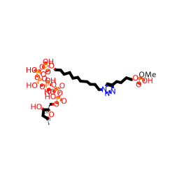 COP(=O)(O)OCCCCc1cn(CCCCCCCCCCCOP(=O)(O)OP(=O)(O)OP(=O)(O)OP(=O)(O)OP(=O)(O)OP(=O)(O)OC[C@@H]2O[C@H](C)CC2O)nn1